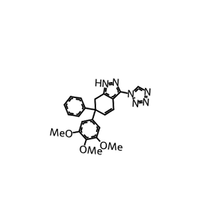 COc1cc(C2(c3ccccc3)C=Cc3c(-n4cnnn4)n[nH]c3C2)cc(OC)c1OC